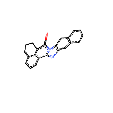 O=c1c2c3c(cccc3c3nc4cc5ccccc5cc4n13)=CCC2